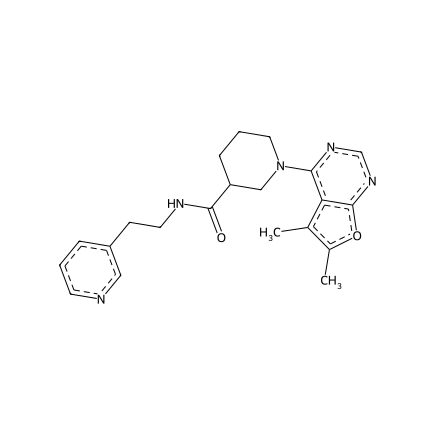 Cc1oc2ncnc(N3CCCC(C(=O)NCCc4cccnc4)C3)c2c1C